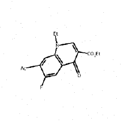 CCOC(=O)c1cn(CC)c2cc(C(C)=O)c(F)cc2c1=O